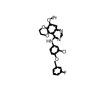 CC(C)Oc1cc2ncnc(Nc3ccc(OCc4cccc(F)c4)c(Cl)c3)c2c2c1OCCO2